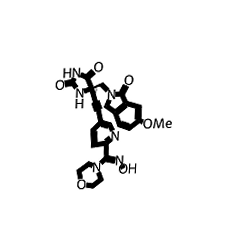 COc1ccc2c(c1)C(=O)N(C[C@@]1(C#Cc3ccc(C(=NO)N4CCOCC4)nc3)NC(=O)NC1=O)C2